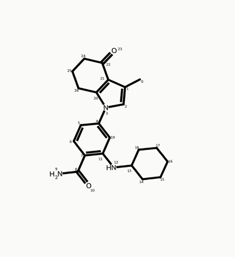 Cc1cn(-c2ccc(C(N)=O)c(NC3CCCCC3)c2)c2c1C(=O)CCC2